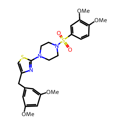 COc1cc(Cc2csc(N3CCN(S(=O)(=O)c4ccc(OC)c(OC)c4)CC3)n2)cc(OC)c1